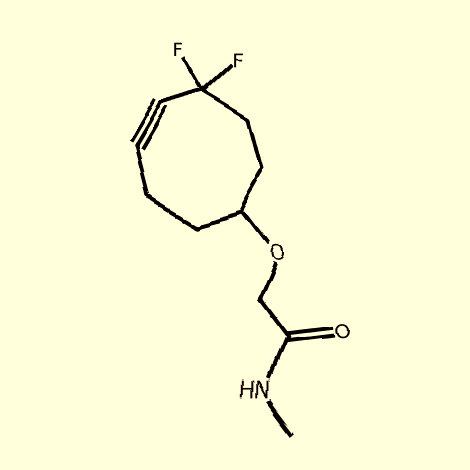 CNC(=O)COC1CCC#CC(F)(F)CC1